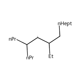 CCCCCCCCC([CH]C(CCC)CCC)CC